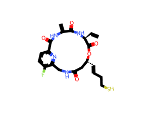 C=C[C@@H]1NC(=O)C(=C)NC(=O)c2ccc(F)c(n2)CNC(=O)C[C@@H](/C=C/CCS)OC1=O